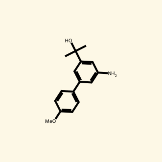 COc1ccc(-c2cc(N)cc(C(C)(C)O)c2)cc1